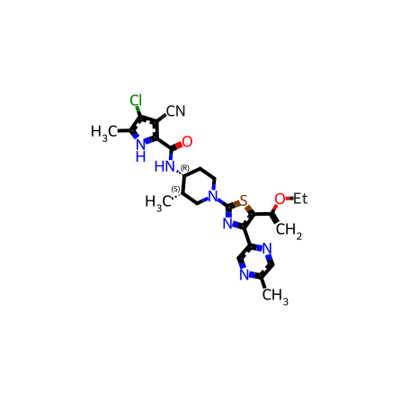 C=C(OCC)c1sc(N2CC[C@@H](NC(=O)c3[nH]c(C)c(Cl)c3C#N)[C@@H](C)C2)nc1-c1cnc(C)cn1